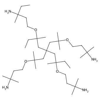 CCC(C)(N)CCOC(C)(CC)CC(CC(C)(C)OCCC(C)(C)N)(CC(C)(C)OCCC(C)(C)N)CC(C)(CC)OCCC(C)(C)N